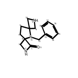 O=C1NCC12CCC1(CNC1)N2Cc1ccccc1